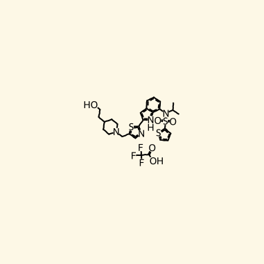 CC(C)N(c1cccc2cc(-c3ncc(CN4CCC(CCO)CC4)s3)[nH]c12)S(=O)(=O)c1cccs1.O=C(O)C(F)(F)F